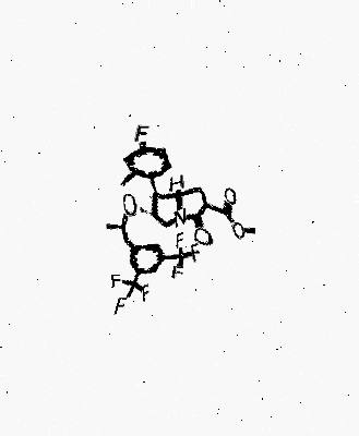 COC(=O)C1C[C@H]2[C@H](c3ccc(F)cc3C)[C@@H](O[C@H](C)c3cc(C(F)(F)F)cc(C(F)(F)F)c3)CN2C1=O